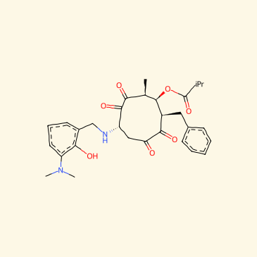 CC(C)C(=O)O[C@@H]1[C@H](C)C(=O)C(=O)[C@@H](NCc2cccc(N(C)C)c2O)CC(=O)C(=O)[C@@H]1Cc1ccccc1